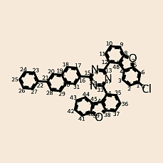 Clc1ccc2c(c1)oc1cccc(-c3nc(-c4ccc5cc(-c6ccccc6)ccc5c4)nc(-c4cccc5oc6ccccc6c45)n3)c12